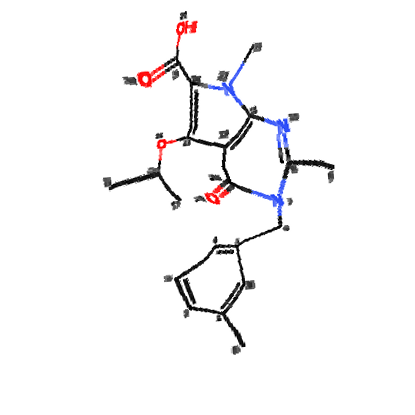 Cc1cccc(Cn2c(C)nc3c(c(OC(C)C)c(C(=O)O)n3C)c2=O)c1